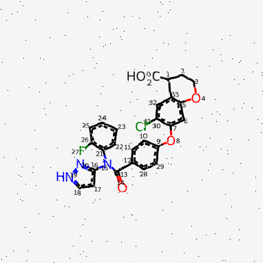 O=C(O)C1CCOc2cc(Oc3ccc(C(=O)N(c4cc[nH]n4)c4ccccc4F)cc3)c(Cl)cc21